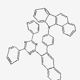 c1ccc(-c2nc(-c3ccccc3)nc(-c3cc4ccccc4cc3-c3ccc(-n4c5ccccc5c5ccc6ccccc6c54)cc3)n2)cc1